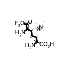 NC(CCC[C@H](N)C(=O)O)C(=O)C(F)(F)F.[N].[N]